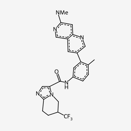 CNc1cc2ncc(-c3cc(NC(=O)c4cnc5n4CC(C(F)(F)F)CC5)ccc3C)cc2cn1